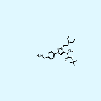 CCN(CC)CCn1nc(-c2ccc(CN)cc2)cc1C(OC)C(=O)OC(C)(C)C